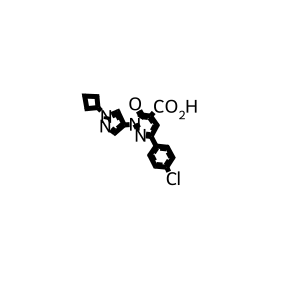 O=C(O)c1cc(-c2ccc(Cl)cc2)nn(-c2cnn(C3CCC3)c2)c1=O